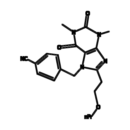 CCCOCCc1nc2c(c(=O)n(C)c(=O)n2C)n1Cc1ccc(C#N)cc1